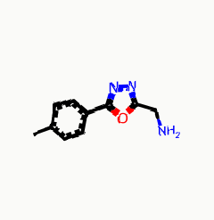 Cc1ccc(-c2nnc(CN)o2)cc1